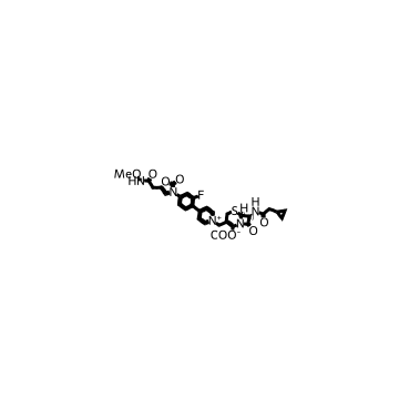 CONC(=O)Cc1cn(-c2ccc(-c3cc[n+](CC4=C(C(=O)[O-])N5C(=O)[C@@H](NC(=O)CC6CC6)[C@@H]5SC4)cc3)c(F)c2)c(=O)o1